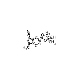 Cc1cc(C#N)c2n1CCN(C(=O)OC(C)(C)C)C2